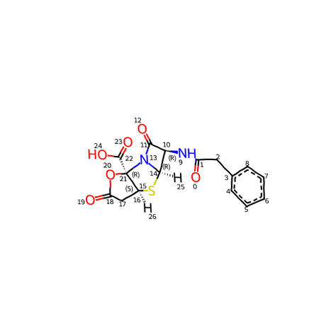 O=C(Cc1ccccc1)N[C@@H]1C(=O)N2[C@@H]1S[C@H]1CC(=O)O[C@]12C(=O)O